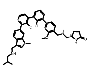 COc1nc(-c2cccc(-c3ccnc(-c4ccc5c(CNCC(C)C)cn(C)c5c4)c3Cl)c2Cl)ccc1CNC[C@H]1CCC(=O)N1